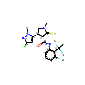 CN1C[C@H](C2=CC(Cl)NN2C)[C@@H](C(=O)Nc2cccc(F)c2C(C)(F)F)C1=S